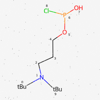 CC(C)(C)N(CCCOP(O)Cl)C(C)(C)C